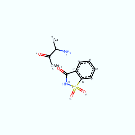 CCC(C)C(N)C(=O)OC.O=C1NS(=O)(=O)c2ccccc21